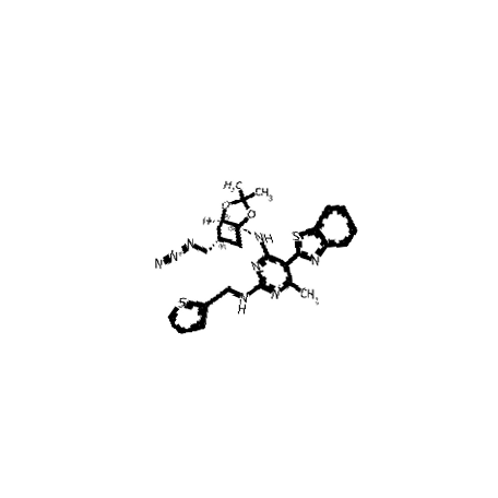 Cc1nc(NCc2cccs2)nc(N[C@]23C[C@H](CN=[N+]=[N-])[C@H]2OC(C)(C)O3)c1-c1nc2ccccc2s1